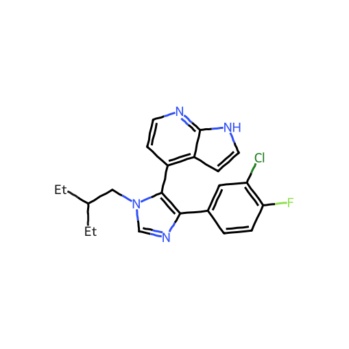 CCC(CC)Cn1cnc(-c2ccc(F)c(Cl)c2)c1-c1ccnc2[nH]ccc12